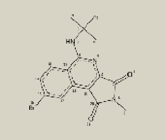 CN1C(=O)c2nc(NC(C)(C)C)c3ccc(Br)cc3c2C1=O